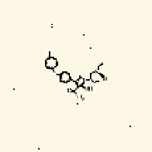 CCC(CN(C#N)CC)n1nc(-c2ccc(Oc3ccc(C)cc3)cc2)c(C(N)=O)c1N